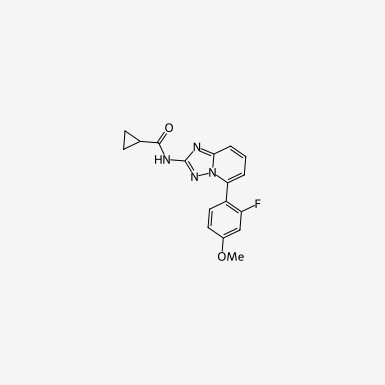 COc1ccc(-c2cccc3nc(NC(=O)C4CC4)nn23)c(F)c1